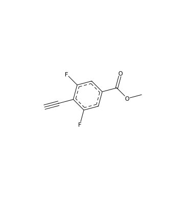 C#Cc1c(F)cc(C(=O)OC)cc1F